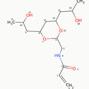 C=CC(=O)NCC1OC(CC(C)O)CC(CC(C)O)O1